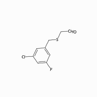 O=CCSCc1cc(F)cc(Cl)c1